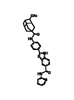 CC(=O)OC1C2CC3CC1CC(C(=O)Nc1ccc(-c4nc5cc(C(=O)Nc6ccccn6)ccc5[nH]4)cc1)(C3)C2